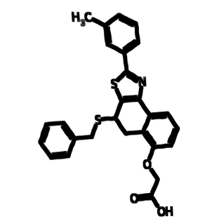 Cc1cccc(-c2nc3c(s2)C(SCc2ccccc2)Cc2c(OCC(=O)O)cccc2-3)c1